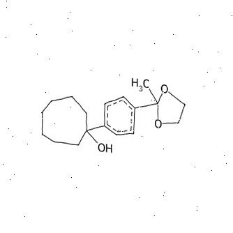 CC1(c2ccc(C3(O)CCCCCCC3)cc2)OCCO1